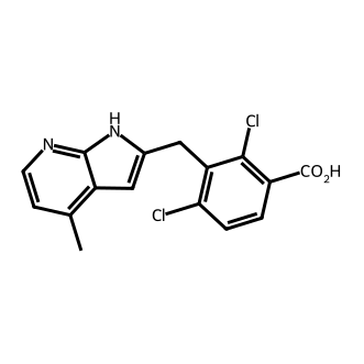 Cc1ccnc2[nH]c(Cc3c(Cl)ccc(C(=O)O)c3Cl)cc12